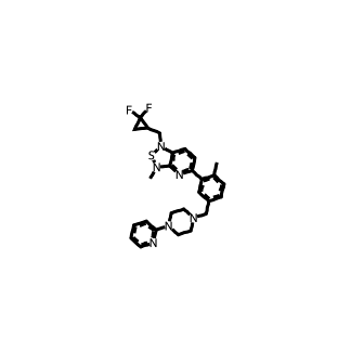 Cc1ccc(CN2CCN(c3ccccn3)CC2)cc1-c1ccc2c(n1)N(C)SN2CC1CC1(F)F